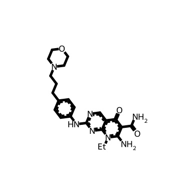 CCn1c(N)c(C(N)=O)c(=O)c2cnc(Nc3ccc(CCCN4CCOCC4)cc3)nc21